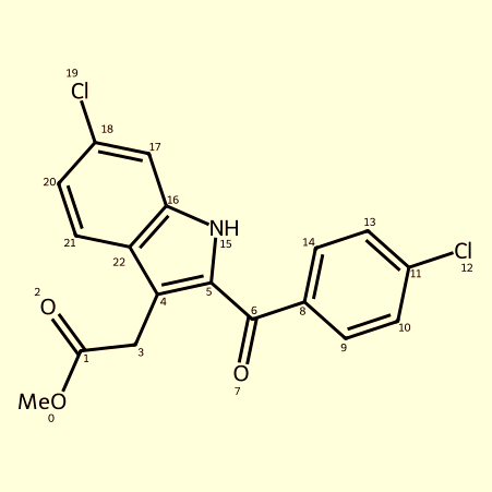 COC(=O)Cc1c(C(=O)c2ccc(Cl)cc2)[nH]c2cc(Cl)ccc12